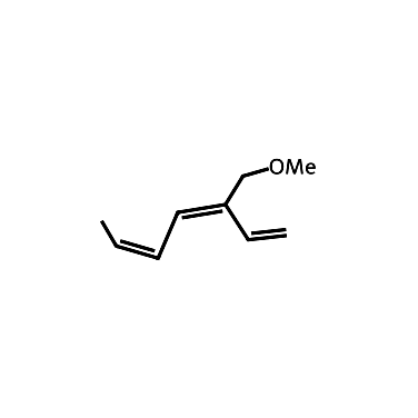 C=C/C(=C\C=C/C)COC